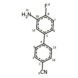 N#Cc1ccc(-c2ccc(F)c(N)c2)cc1